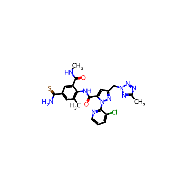 CNC(=O)c1cc(C(N)=S)cc(C)c1NC(=O)c1cc(Cn2nnc(C)n2)nn1-c1ncccc1Cl